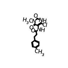 Cc1ccc(CCC(=O)Nc2c(Cl)[nH]c(=O)n(C)c2=O)cc1